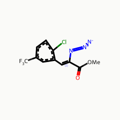 COC(=O)/C(=C/c1cc(C(F)(F)F)ccc1Cl)N=[N+]=[N-]